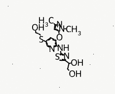 Cc1cc(Oc2cc(SCCO)cnc2Nc2nc(C(O)CO)cs2)n(C)n1